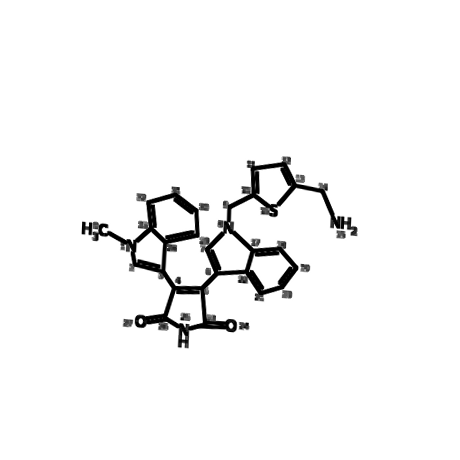 Cn1cc(C2=C(c3cn(Cc4ccc(CN)s4)c4ccccc34)C(=O)NC2=O)c2ccccc21